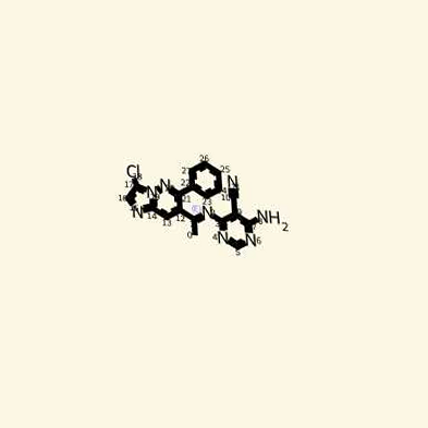 C/C(=N\c1ncnc(N)c1C#N)c1cc2ncc(Cl)n2nc1-c1ccccc1